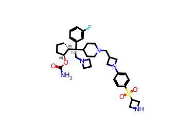 NC(=O)O[C@H]1CCC[C@@H]1[C@](CN1CCC1)(c1cccc(F)c1)C1CCN(CC2CN(c3ccc(S(=O)(=O)C4CNC4)cc3)C2)CC1